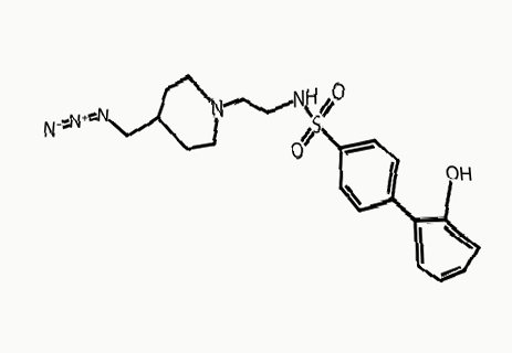 [N-]=[N+]=NCC1CCN(CCNS(=O)(=O)c2ccc(-c3ccccc3O)cc2)CC1